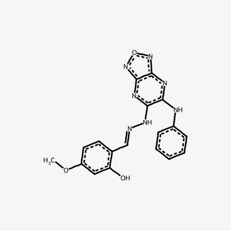 COc1ccc(C=NNc2nc3nonc3nc2Nc2ccccc2)c(O)c1